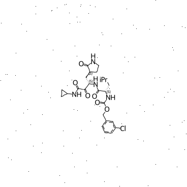 CC(C)C[C@H](NC(=O)OCc1cccc(Cl)c1)C(=O)N[C@@H](C[C@@H]1CCNC1=O)C(=O)C(=O)NC1CC1